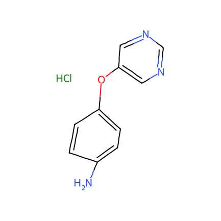 Cl.Nc1ccc(Oc2cncnc2)cc1